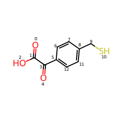 O=C(O)C(=O)c1ccc(CS)cc1